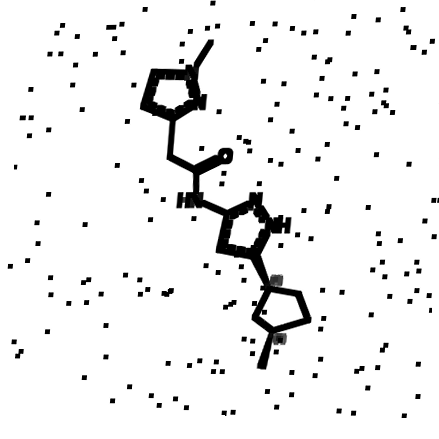 C[C@@H]1CC[C@H](c2cc(NC(=O)Cc3ccn(C)n3)n[nH]2)C1